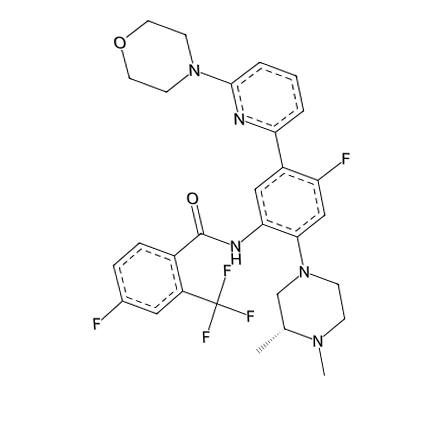 C[C@@H]1CN(c2cc(F)c(-c3cccc(N4CCOCC4)n3)cc2NC(=O)c2ccc(F)cc2C(F)(F)F)CCN1C